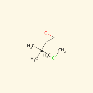 CCl.C[Si](C)(C)C1CO1